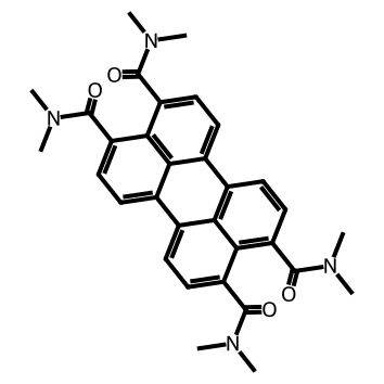 CN(C)C(=O)c1ccc2c3ccc(C(=O)N(C)C)c4c(C(=O)N(C)C)ccc(c5ccc(C(=O)N(C)C)c1c25)c43